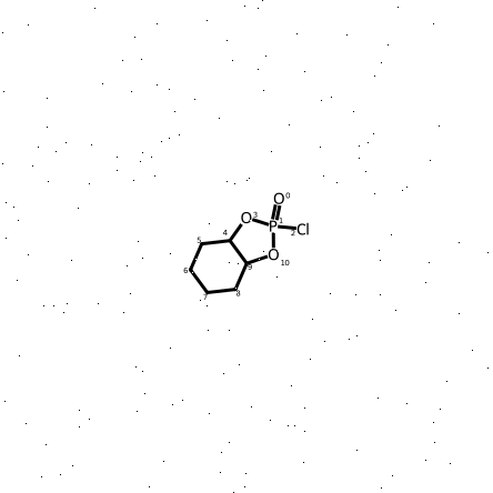 O=P1(Cl)OC2CCCCC2O1